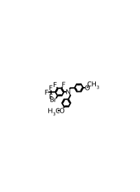 COc1ccc(CN(Cc2ccc(OC)cc2)c2cc(Br)c(C(F)(F)F)c(F)c2F)cc1